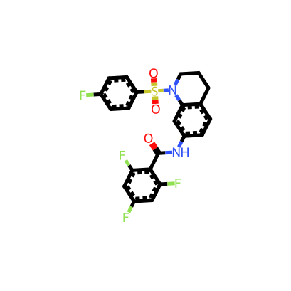 O=C(Nc1ccc2c(c1)N(S(=O)(=O)c1ccc(F)cc1)CCC2)c1c(F)cc(F)cc1F